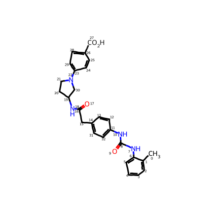 Cc1ccccc1NC(=O)Nc1ccc(CC(=O)NC2CCN(c3ccc(C(=O)O)cc3)C2)cc1